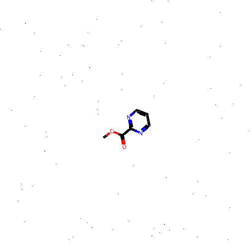 COC(=O)c1nc[c]cn1